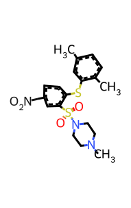 Cc1ccc(C)c(Sc2ccc([N+](=O)[O-])cc2S(=O)(=O)N2CCN(C)CC2)c1